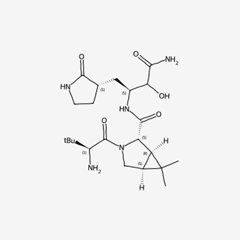 CC(C)(C)[C@H](N)C(=O)N1C[C@H]2[C@@H]([C@H]1C(=O)N[C@@H](C[C@@H]1CCNC1=O)C(O)C(N)=O)C2(C)C